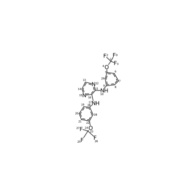 FC(F)(F)Oc1cccc(Nc2nccnc2Nc2cccc(OC(F)(F)F)c2)c1